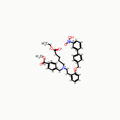 CCOC(=O)CCCCN(CCc1ccccc1OCc1ccc(-c2cccc([N+](=O)O)c2)cc1)Cc1ccc(C(=O)OC)cc1